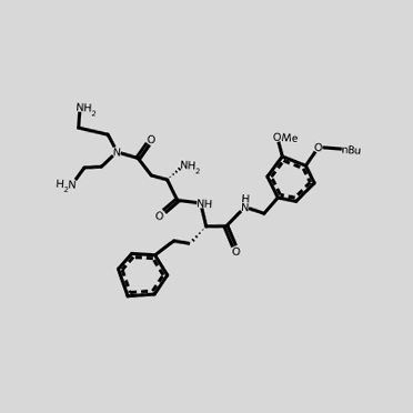 CCCCOc1ccc(CNC(=O)[C@H](CCc2ccccc2)NC(=O)[C@@H](N)CC(=O)N(CCN)CCN)cc1OC